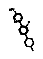 CCCc1ccc(-c2ccc(C3CCC(C)CC3)cc2F)nc1